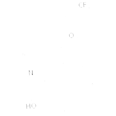 OC1CCCCc2c(OCC(F)(F)F)ccnc21